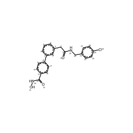 O=C(Cc1cccc(-c2ccc(C(=O)NO)cc2)c1)NCc1ccc(Cl)cc1